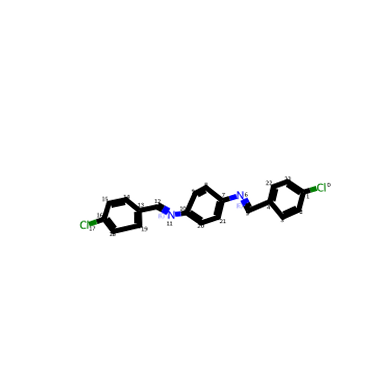 Clc1ccc(/C=N/c2ccc(/N=C/c3ccc(Cl)cc3)cc2)cc1